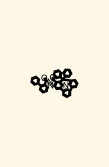 O=c1c2c(-c3ccccc3)cccc2n2c3cc4c5cccc6c7cccc8c7n(c4c(c3c(=O)n12)C8(c1ccccc1)c1ccccc1)c65